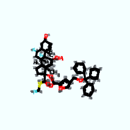 C[C@]12C=CC(=O)C=C1[C@@H](F)C[C@H]1[C@@H]3CC[C@](OC(=O)c4cc(COC(c5ccccc5)(c5ccccc5)c5ccccc5)co4)(C(=O)SCF)[C@@]3(C)C[C@H](O)[C@@]12F